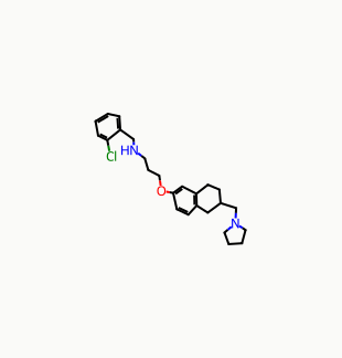 Clc1ccccc1CNCCCOc1ccc2c(c1)CCC(CN1CCCC1)C2